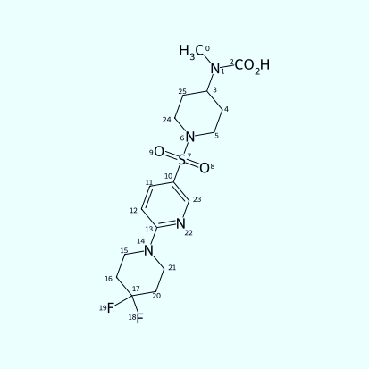 CN(C(=O)O)C1CCN(S(=O)(=O)c2ccc(N3CCC(F)(F)CC3)nc2)CC1